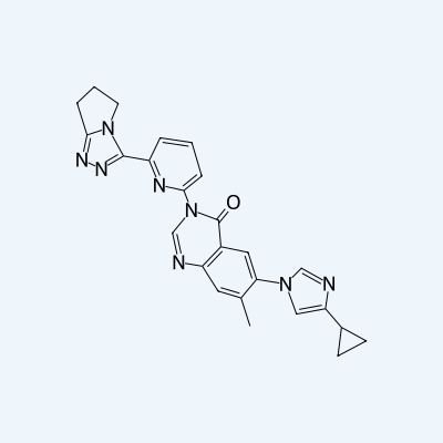 Cc1cc2ncn(-c3cccc(-c4nnc5n4CCC5)n3)c(=O)c2cc1-n1cnc(C2CC2)c1